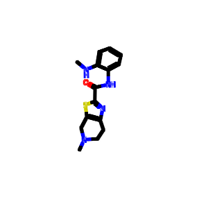 CNc1ccccc1NC(=O)c1nc2c(s1)CN(C)CC2